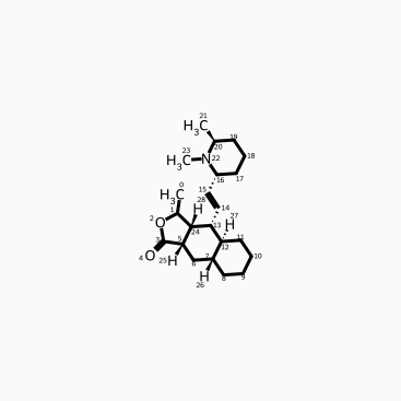 CC1OC(=O)[C@H]2C[C@H]3CCCC[C@@H]3[C@@H](/C=C/[C@H]3CCC[C@H](C)N3C)[C@@H]12